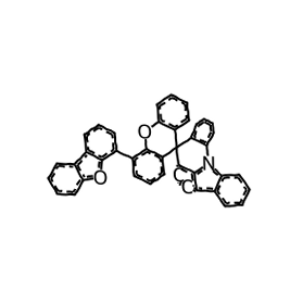 c1ccc2c(c1)Oc1c(-c3cccc4c3oc3ccccc34)cccc1C21c2ccccc2-n2c3ccccc3c3cccc1c32